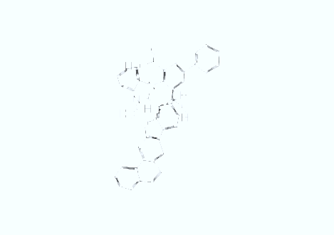 Cc1ccc2c(oc3cc4c(ccc5ccccc54)cc32)c1-c1n(-c2c(C(C)C)cc(-c3ccccc3)cc2C(C)C)c2ccccc2[n+]1C